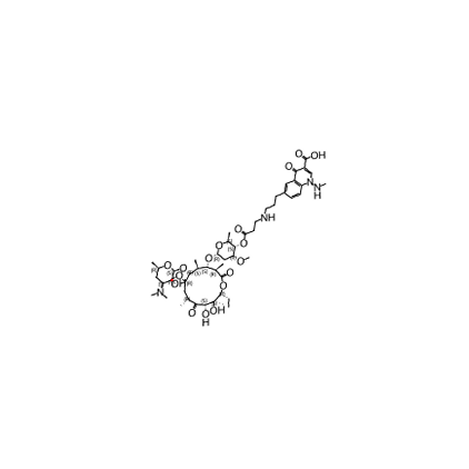 CC[C@H]1OC(=O)[C@H](C)[C@@H](O[C@H]2C[C@@H](OC)[C@@H](OC(=O)CCNCCCc3ccc4c(c3)c(=O)c(C(=O)O)cn4NC)[C@H](C)O2)[C@H](C)[C@@H](O[C@@H]2O[C@H](C)C[C@H](N(C)C)[C@H]2O)[C@](C)(OC)C[C@@H](C)C(=O)[C@@H](O)[C@]1(C)O